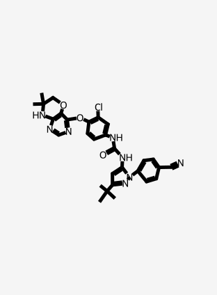 CC1(C)COc2c(ncnc2Oc2ccc(NC(=O)Nc3cc(C(C)(C)C)nn3-c3ccc(C#N)cc3)cc2Cl)N1